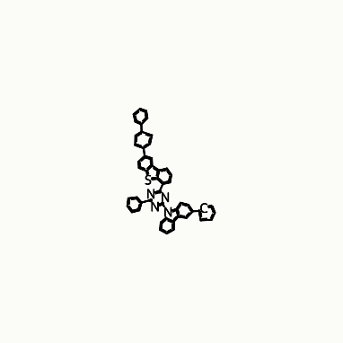 c1ccc(-c2ccc(-c3ccc4sc5c(-c6nc(-c7ccccc7)nc(-n7c8ccccc8c8cc(-c9ccccc9)ccc87)n6)cccc5c4c3)cc2)cc1